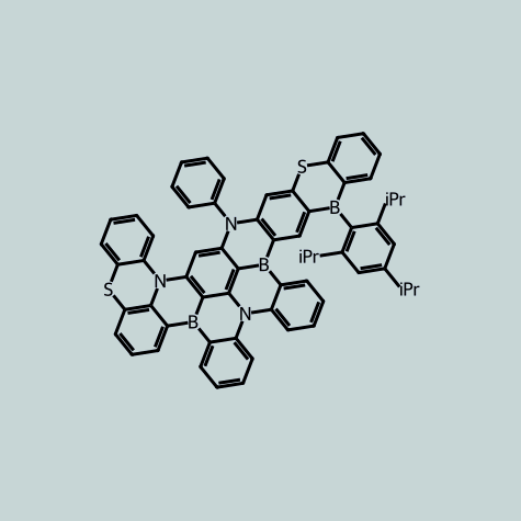 CC(C)c1cc(C(C)C)c(B2c3ccccc3Sc3cc4c(cc32)B2c3ccccc3N3c5ccccc5B5c6cccc7c6N(c6ccccc6S7)c6cc(c2c3c65)N4c2ccccc2)c(C(C)C)c1